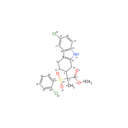 COC(=O)C(C)(C1CCc2c([nH]c3ccc(Cl)cc23)C1)S(=O)(=O)c1ccccc1Cl